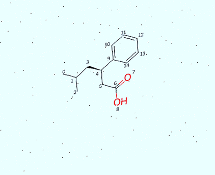 CC(C)C[C@H](CC(=O)O)c1ccccc1